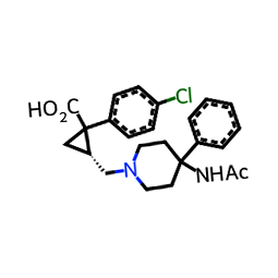 CC(=O)NC1(c2ccccc2)CCN(C[C@@H]2CC2(C(=O)O)c2ccc(Cl)cc2)CC1